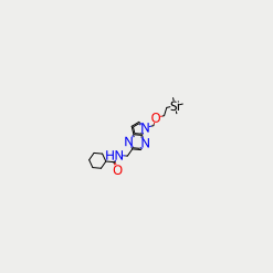 C[Si](C)(C)CCOCn1ccc2nc(CNC(=O)C3CCCCC3)cnc21